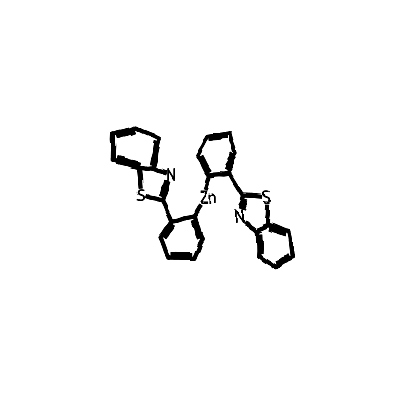 c1ccc(-c2nc3ccccc3s2)[c]([Zn][c]2ccccc2-c2nc3ccccc3s2)c1